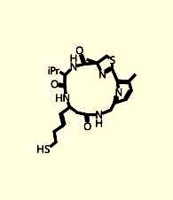 Cc1ccc2nc1C1=NC(C)(CS1)C(=O)NC(C(C)C)C(=O)NC(/C=C/CCS)CC(=O)NC2